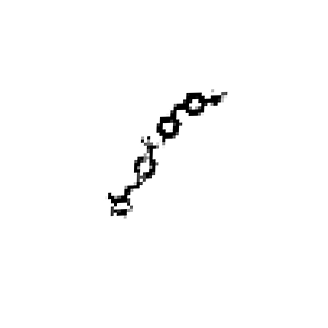 Cc1ncsc1CCN1CCN(C(=O)Oc2ccc(Cc3ccc(C(F)(F)F)cc3)cc2)CC1